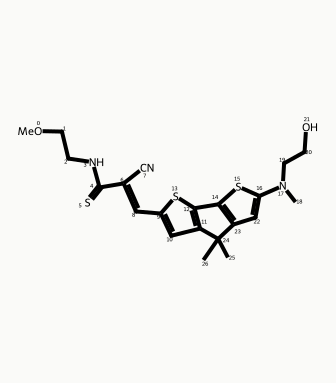 COCCNC(=S)/C(C#N)=C/c1cc2c(s1)-c1sc(N(C)CCO)cc1C2(C)C